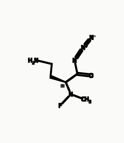 CN(F)[C@@H](CCN)C(=O)N=[N+]=[N-]